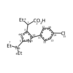 CCC(C(=O)O)c1sc(N(CC)CC)nc1-c1ccc(Cl)cc1